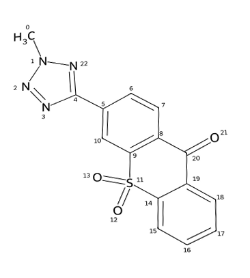 Cn1nnc(-c2ccc3c(c2)S(=O)(=O)c2ccccc2C3=O)n1